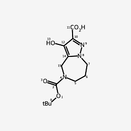 CC(C)(C)OC(=O)N1CCCn2nc(C(=O)O)c(O)c2C1